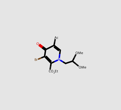 CCOC(=O)c1c(Br)c(=O)c(C(C)=O)cn1CC(OC)OC